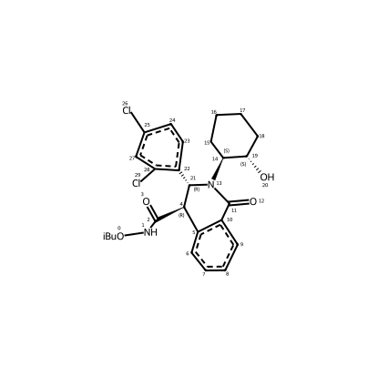 CC(C)CONC(=O)[C@@H]1c2ccccc2C(=O)N([C@H]2CCCC[C@@H]2O)[C@H]1c1ccc(Cl)cc1Cl